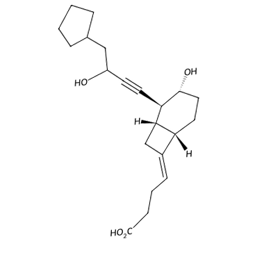 O=C(O)CC/C=C1\C[C@@H]2[C@@H](C#CC(O)CC3CCCC3)[C@H](O)CC[C@H]12